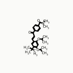 CC(C)Oc1cc(OC(C)C)c(C(C)(C)C)cc1/C=C/C(=O)c1ccc(C(=O)N(C)C)cc1